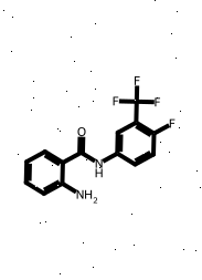 Nc1ccccc1C(=O)Nc1ccc(F)c(C(F)(F)F)c1